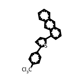 ClC(Cl)(Cl)c1ccc(-c2ccc(-c3cccc4cc5ccccc5cc34)s2)cc1